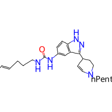 CC=CCCCNC(=O)Nc1ccc2[nH]nc(C3C=CN(CCCCC)CC3)c2c1